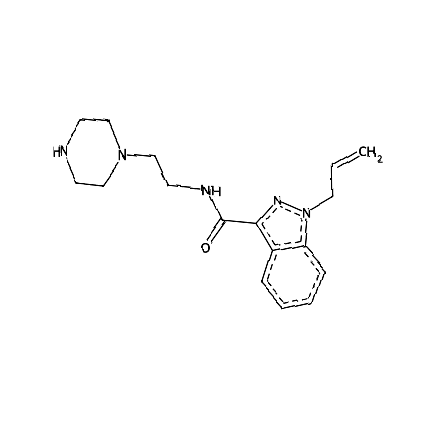 C=CCn1nc(C(=O)NCCN2CCNCC2)c2ccccc21